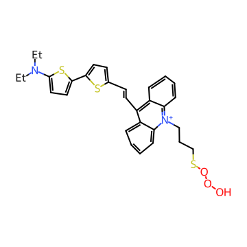 CCN(CC)c1ccc(-c2ccc(/C=C/c3c4ccccc4[n+](CCCSOOO)c4ccccc34)s2)s1